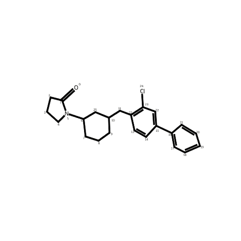 O=C1CCCN1C1CCCC(Cc2ccc(-c3ccccc3)cc2Cl)C1